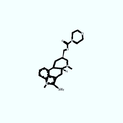 CSc1c2c3c(cccc3n1C)C1C[C@@H](COC(=O)N3CCOCC3)CN(C)[C@@H]1C2